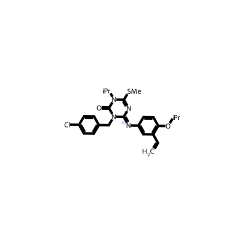 C=Cc1cc(/N=c2\nc(SC)n(C(C)C)c(=O)n2Cc2ccc(Cl)cc2)ccc1OC(C)C